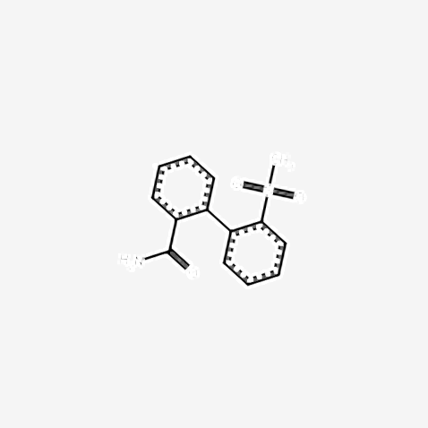 CS(=O)(=O)c1ccccc1-c1cc[c]cc1C(N)=O